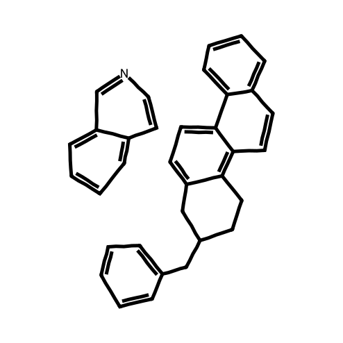 c1ccc(CC2CCc3c(ccc4c3ccc3ccccc34)C2)cc1.c1ccc2cnccc2c1